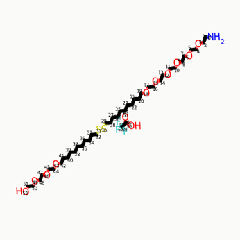 NCCOCCOCCOCCOCCOCCOCCCCCCCCCCCSSCCCCCCCCCCCOCCOCCOCCO.O=C(O)C(F)(F)F